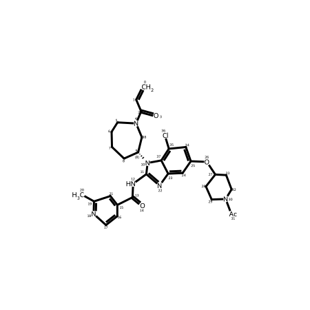 C=CC(=O)N1CCCC[C@@H](n2c(NC(=O)c3ccnc(C)c3)nc3cc(OC4CCN(C(C)=O)CC4)cc(Cl)c32)C1